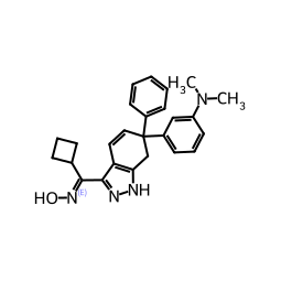 CN(C)c1cccc(C2(c3ccccc3)C=Cc3c(/C(=N/O)C4CCC4)n[nH]c3C2)c1